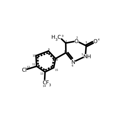 CC1OC(=O)NN=C1c1ccc(Cl)c(C(F)(F)F)c1